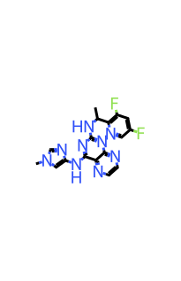 CC(Nc1nc(Nc2cn(C)cn2)c2nccnc2n1)c1ncc(F)cc1F